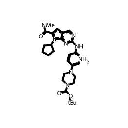 C=C(/C=C\C(=C/N)N1CCN(C(=O)OC(C)(C)C)CC1)Nc1ncc2cc(C(=O)NC)n(C3CCCC3)c2n1